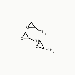 CC1CO1.CC1CO1.CC1CO1